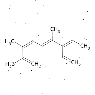 BC(=C)\C(C)=C/C=C(C)/C(C=C)=C/C